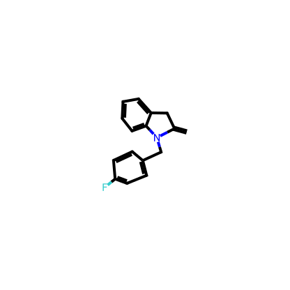 C=C1Cc2ccccc2N1Cc1ccc(F)cc1